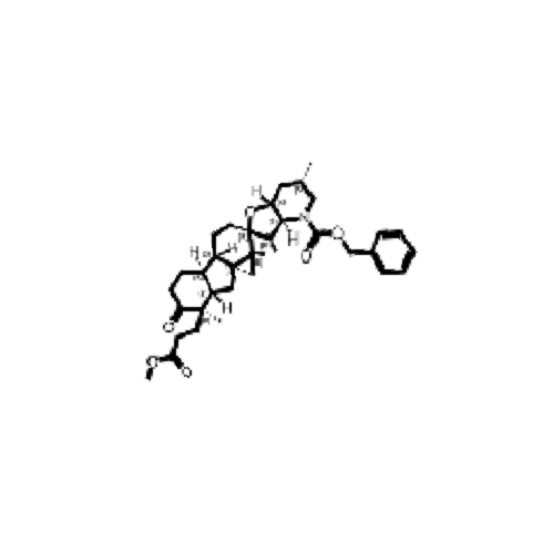 COC(=O)CC[C@@]1(C)C(=O)CC[C@H]2[C@@H]3CC[C@]4(O[C@@H]5C[C@H](C)CN(C(=O)OCc6ccccc6)[C@H]5[C@H]4C)[C@]4(C)C[C@]34C[C@@H]21